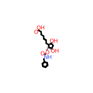 O=C(O)CCCC=CCC1[C@@H](COC(=O)NCc2ccccc2)[C@H](O)C[C@@H]1O